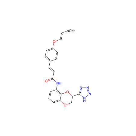 CCCCCCCCC=COc1ccc(C=CC(=O)Nc2cccc3c2OC(c2nnn[nH]2)CO3)cc1